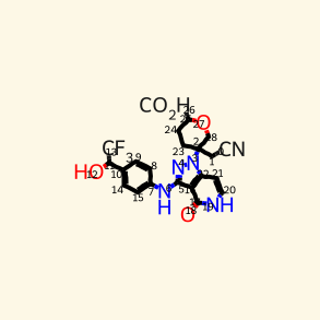 N#CCC1(n2nc(Nc3ccc(C(O)C(F)(F)F)cc3)c3c(=O)[nH]ccc32)CCC(C(=O)O)OC1